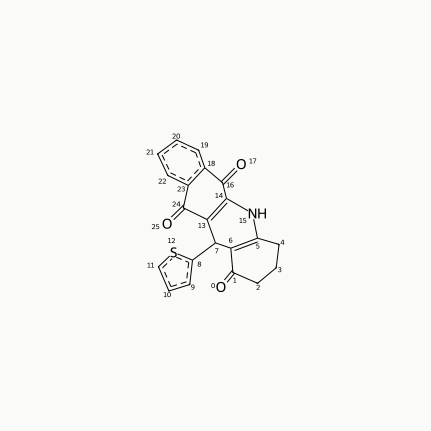 O=C1CCCC2=C1C(c1cccs1)C1=C(N2)C(=O)c2ccccc2C1=O